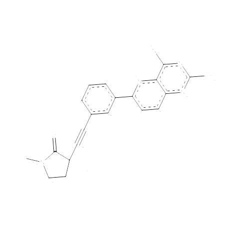 Bc1nc(N)c2nc(-c3cccc(C#C[C@@]4(O)C[C@H](C)N(C)C4=O)c3)ccc2n1